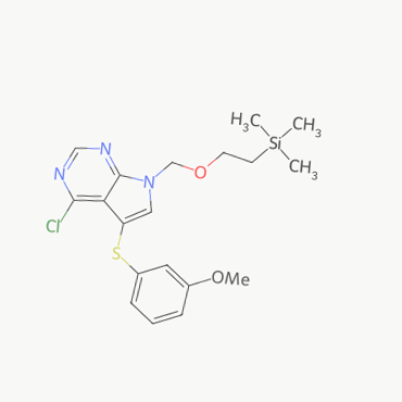 COc1cccc(Sc2cn(COCC[Si](C)(C)C)c3ncnc(Cl)c23)c1